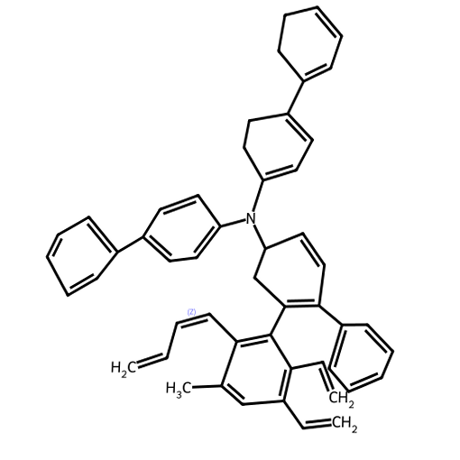 C=C/C=C\c1c(C)cc(C=C)c(C=C)c1C1=C(c2ccccc2)C=CC(N(C2=CC=C(C3=CC=CCC3)CC2)c2ccc(-c3ccccc3)cc2)C1